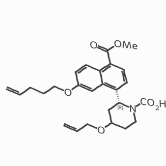 C=CCCCOc1ccc2c(C(=O)OC)ccc([C@H]3CC(OCC=C)CCN3C(=O)O)c2c1